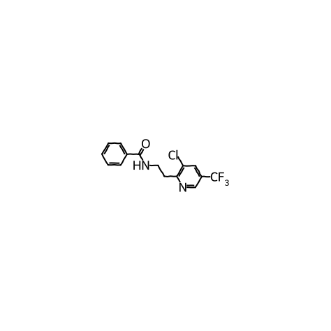 O=C(NCCc1ncc(C(F)(F)F)cc1Cl)c1ccccc1